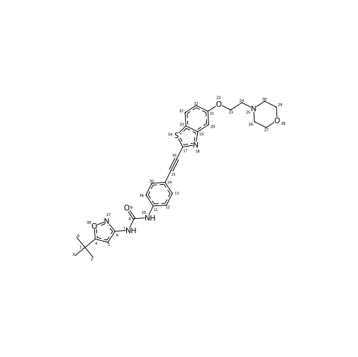 CC(C)(C)c1cc(NC(=O)Nc2ccc(C#Cc3nc4cc(OCCN5CCOCC5)ccc4s3)cc2)no1